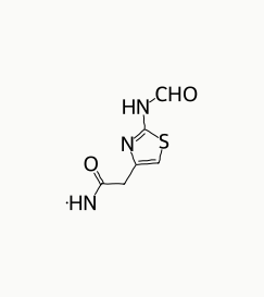 [NH]C(=O)Cc1csc(NC=O)n1